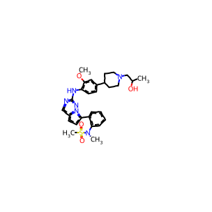 COc1cc(C2CCN(CC(C)O)CC2)ccc1Nc1ncc2ccc(-c3ccccc3N(C)S(C)(=O)=O)n2n1